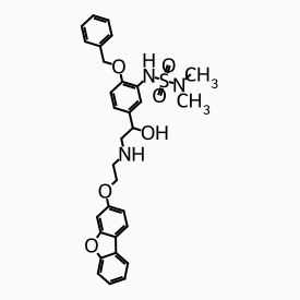 CN(C)S(=O)(=O)Nc1cc(C(O)CNCCOc2ccc3c(c2)oc2ccccc23)ccc1OCc1ccccc1